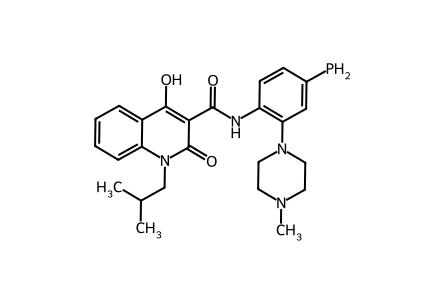 CC(C)Cn1c(=O)c(C(=O)Nc2ccc(P)cc2N2CCN(C)CC2)c(O)c2ccccc21